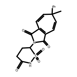 CC(C)C1(C)C=CC2=C(C=C1)C(=O)N(C1CCC(=O)NS1(=O)=O)C2=O